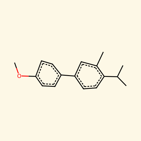 COc1ccc(-c2ccc(C(C)C)c(C)c2)cc1